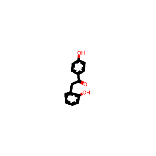 O=C(Cc1ccccc1O)c1ccc(O)cc1